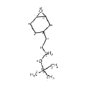 C[Si](C)(C)O[SiH2]CCC1CCC2OC2C1